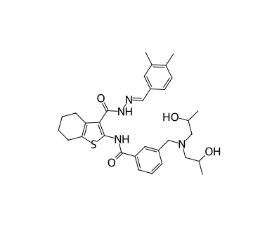 Cc1ccc(C=NNC(=O)c2c(NC(=O)c3cccc(CN(CC(C)O)CC(C)O)c3)sc3c2CCCC3)cc1C